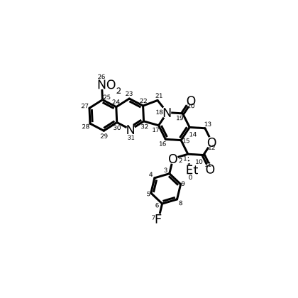 CC[C@@]1(Oc2ccc(F)cc2)C(=O)OCc2c1cc1n(c2=O)Cc2cc3c([N+](=O)[O-])cccc3nc2-1